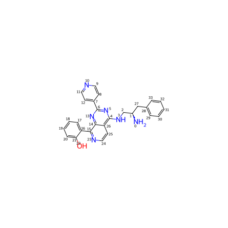 N[C@@H](CNc1nc(-c2ccncc2)nc2c(-c3ccccc3O)nccc12)Cc1ccccc1